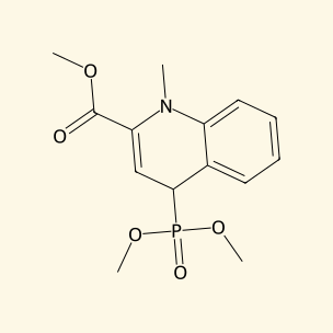 COC(=O)C1=CC(P(=O)(OC)OC)c2ccccc2N1C